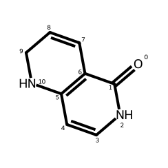 O=c1[nH]ccc2c1C=CCN2